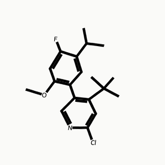 COc1cc(F)c(C(C)C)cc1-c1cnc(Cl)cc1C(C)(C)C